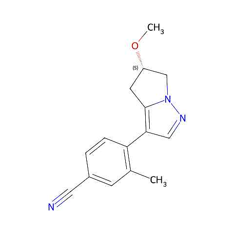 CO[C@H]1Cc2c(-c3ccc(C#N)cc3C)cnn2C1